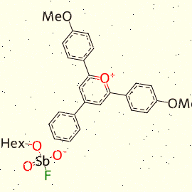 CCCCCC[O][Sb](=[O])([O-])[F].COc1ccc(-c2cc(-c3ccccc3)cc(-c3ccc(OC)cc3)[o+]2)cc1